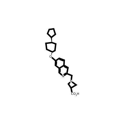 O=C(O)C1CN(Cc2cc3ccc(O[C@H]4CC[C@H](C5CCCC5)CC4)cc3cn2)C1